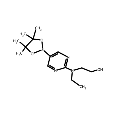 CCN(CCO)c1ncc(B2OC(C)(C)C(C)(C)O2)cn1